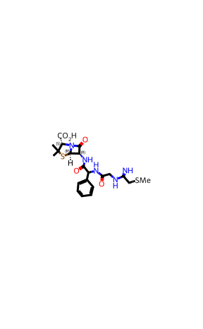 CSCC(=N)NCC(=O)NC(C(=O)N[C@@H]1C(=O)N2[C@@H]1SC(C)(C)[C@@H]2C(=O)O)c1ccccc1